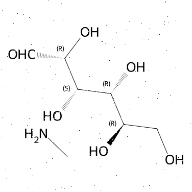 CN.O=C[C@H](O)[C@@H](O)[C@H](O)[C@H](O)CO